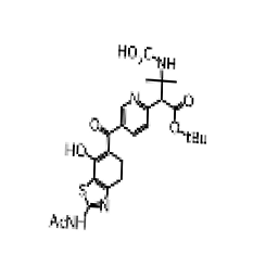 CC(=O)Nc1nc2c(s1)C(O)=C(C(=O)c1ccc(C(C(=O)OC(C)(C)C)C(C)(C)NC(=O)O)nc1)CC2